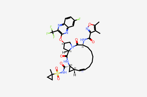 Cc1onc(C(=O)N[C@H]2CCCCC/C=C\[C@@H]3C[C@@]3(C(=O)NS(=O)(=O)C3(C)CC3)NC(=O)[C@@H]3C[C@@H](Oc4nc5cc(F)ccc5nc4C(F)(F)F)CN3C2=O)c1C